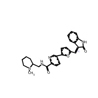 CN1CCCCC1CNC(=O)c1ccc(-c2ccc(/C=C3/C(=O)Nc4ccccc43)o2)cn1